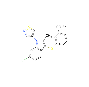 CCOC(=O)c1cccc(Sc2c(C)n(-c3cnsc3)c3cc(Cl)ccc23)c1